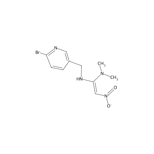 CN(C)C(=C[N+](=O)[O-])NCc1ccc(Br)nc1